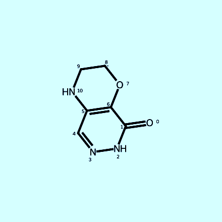 O=c1[nH]ncc2c1O[CH]CN2